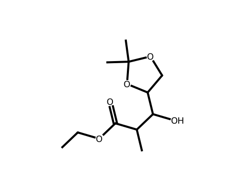 CCOC(=O)C(C)C(O)C1COC(C)(C)O1